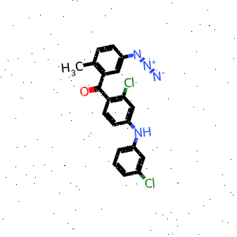 Cc1ccc(N=[N+]=[N-])cc1C(=O)c1ccc(Nc2cccc(Cl)c2)cc1Cl